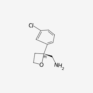 NC[C@]1(c2cccc(Cl)c2)CCO1